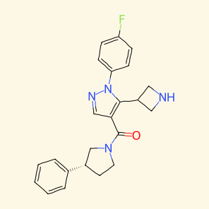 O=C(c1cnn(-c2ccc(F)cc2)c1C1CNC1)N1CC[C@H](c2ccccc2)C1